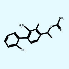 Cc1c(C(C)OC(N)=O)ccc(-c2ccccc2N)c1N